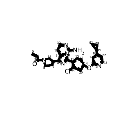 C=CC(=O)N1CCC(c2nc(-c3ccc(Oc4cc(C5CC5)ccn4)cc3Cl)n3c(N)nccc23)C1